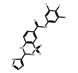 O=C(Nc1cc(F)c(F)c(F)c1)c1ccc2c(c1)S(=O)(=O)NC(c1ccn[nH]1)N2